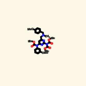 COc1ccc(CN(C)Cc2cc(N(C(=O)OC(C)(C)C)c3cccc(OC)c3)nc(N(C(=O)OC(C)(C)C)C(=O)OC(C)(C)C)n2)cc1